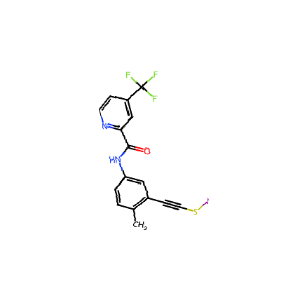 Cc1ccc(NC(=O)c2cc(C(F)(F)F)ccn2)cc1C#CSI